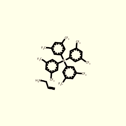 C=CC[NH3+].FC(F)(F)c1cc([B-](c2cc(C(F)(F)F)cc(C(F)(F)F)c2)(c2cc(C(F)(F)F)cc(C(F)(F)F)c2)c2cc(C(F)(F)F)cc(C(F)(F)F)c2)cc(C(F)(F)F)c1